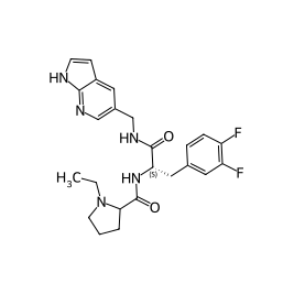 CCN1CCCC1C(=O)N[C@@H](Cc1ccc(F)c(F)c1)C(=O)NCc1cnc2[nH]ccc2c1